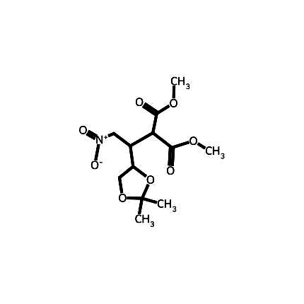 COC(=O)C(C(=O)OC)C(C[N+](=O)[O-])C1COC(C)(C)O1